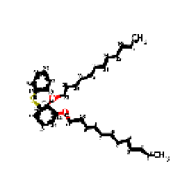 CCCCCCCCCCCCOc1cccc(Sc2ccccc2)c1OCCCCCCCCCCCC